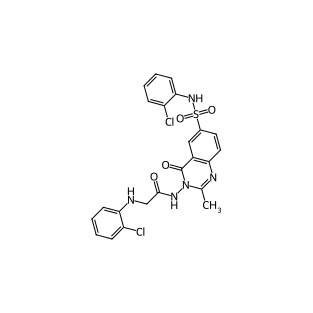 Cc1nc2ccc(S(=O)(=O)Nc3ccccc3Cl)cc2c(=O)n1NC(=O)CNc1ccccc1Cl